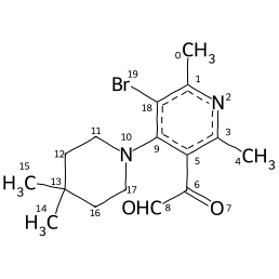 Cc1nc(C)c(C(=O)C=O)c(N2CCC(C)(C)CC2)c1Br